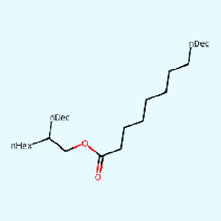 CCCCCCCCCCCCCCCCCC(=O)OCC(CCCCCC)CCCCCCCCCC